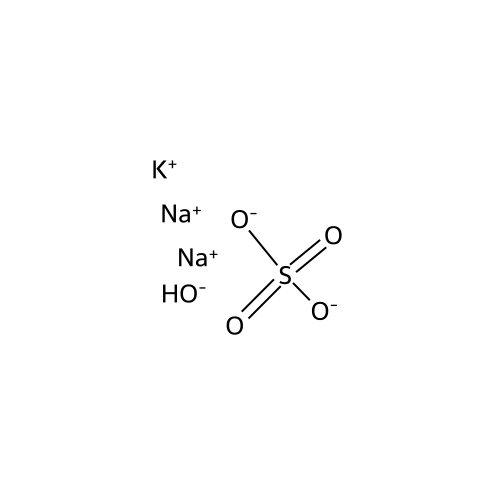 O=S(=O)([O-])[O-].[K+].[Na+].[Na+].[OH-]